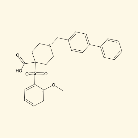 COc1ccccc1S(=O)(=O)C1(C(=O)O)CCN(Cc2ccc(-c3ccccc3)cc2)CC1